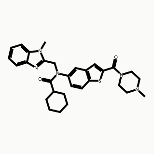 CN1CCN(C(=O)c2cc3cc(N(Cc4nc5ccccc5n4C)C(=O)C4CCCCC4)ccc3s2)CC1